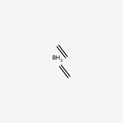 B.C=C.C=C